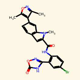 Cc1noc(C)c1-c1ccc2cc(C(=O)Nc3ccc(Br)cc3-c3noc(=O)[nH]3)n(C)c2c1